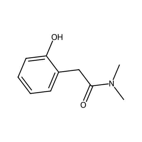 CN(C)C(=O)Cc1ccccc1O